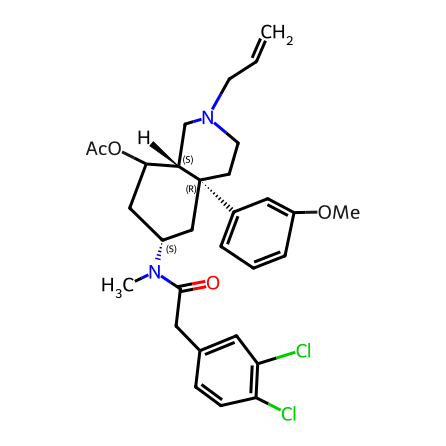 C=CCN1CC[C@@]2(c3cccc(OC)c3)C[C@H](N(C)C(=O)Cc3ccc(Cl)c(Cl)c3)CC(OC(C)=O)[C@@H]2C1